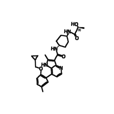 Cc1ccc(OCC2CC2)c(-c2ccnc3c(C(=O)N[C@H]4CC[C@H](NC(=O)[C@H](C)O)CC4)c(C)[nH]c23)c1